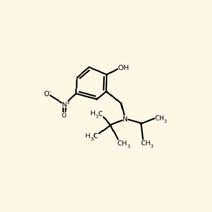 CC(C)N(Cc1cc([N+](=O)[O-])ccc1O)C(C)(C)C